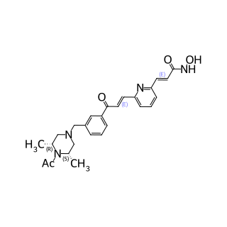 CC(=O)N1[C@H](C)CN(Cc2cccc(C(=O)/C=C/c3cccc(/C=C/C(=O)NO)n3)c2)C[C@@H]1C